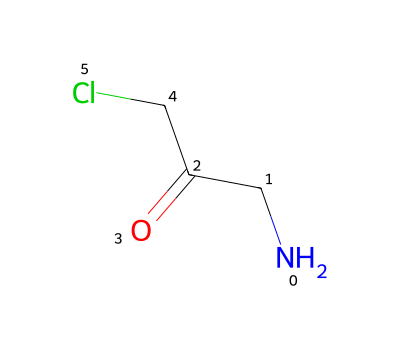 NCC(=O)CCl